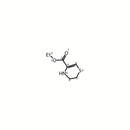 CCOC(=O)C1=CSCCN1